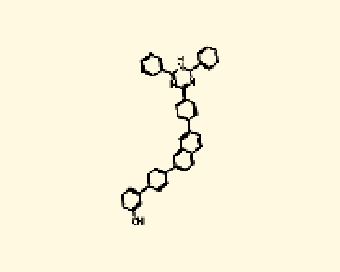 N#Cc1cccc(-c2ccc(-c3ccc4ccc(-c5ccc(C6=NC(c7ccccc7)NC(c7ccccc7)=N6)cc5)cc4c3)cc2)c1